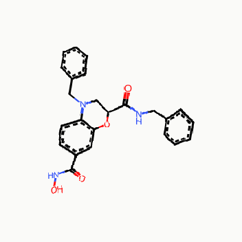 O=C(NO)c1ccc2c(c1)OC(C(=O)NCc1ccccc1)CN2Cc1ccccc1